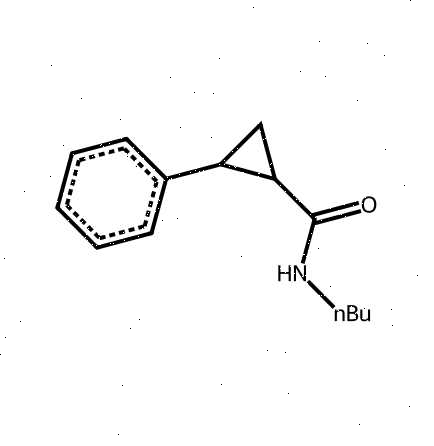 CCCCNC(=O)C1CC1c1ccccc1